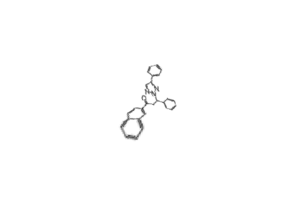 O=C(CC(c1ccccc1)n1ncc(-c2ccccc2)n1)c1ccc2ccccc2c1